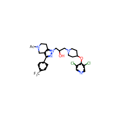 CC(=O)N1CCc2c(c(-c3ccc(C(F)(F)F)cc3)nn2CC(O)CN2CCC(Oc3c(Cl)cncc3Cl)CC2)C1